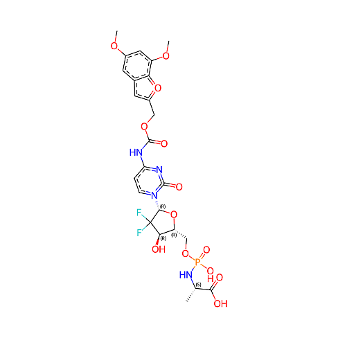 COc1cc(OC)c2oc(COC(=O)Nc3ccn([C@@H]4O[C@H](COP(=O)(O)N[C@@H](C)C(=O)O)[C@@H](O)C4(F)F)c(=O)n3)cc2c1